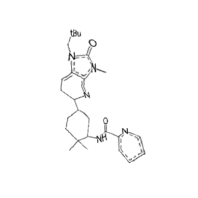 Cn1c2c(n(CC(C)(C)C)c1=O)=CCC(C1CCC(C)(C)C(NC(=O)c3ccccn3)C1)N=2